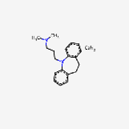 CN(C)CCCN1c2ccccc2CCc2ccccc21.[CaH2]